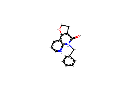 O=c1c2c(c3cccnc3n1Cc1ccccc1)OCC2